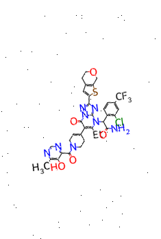 CCc1c(C2=CCN(C(=O)c3ncnc(C)c3O)CC2)c(=O)n2nc(-c3cc4c(s3)COCC4)nc2n1C(C(N)=O)c1ccc(C(F)(F)F)cc1Cl